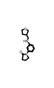 O=C1CCCN1c1cccc(NCC2CCOC2)c1